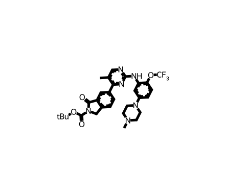 Cc1cnc(Nc2cc(N3CCN(C)CC3)ccc2OC(F)(F)F)nc1-c1ccc2c(c1)C(=O)N(C(=O)OC(C)(C)C)C2